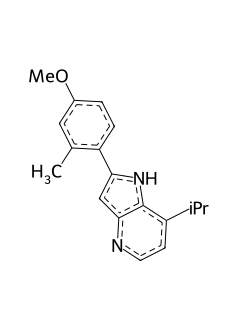 COc1ccc(-c2cc3nccc(C(C)C)c3[nH]2)c(C)c1